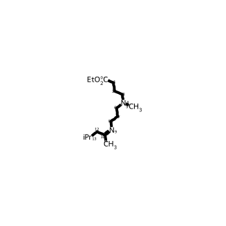 CCOC(=O)CCCN(C)CCCN=C(C)CC(C)C